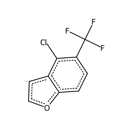 FC(F)(F)c1ccc2oc[c]c2c1Cl